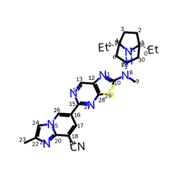 CC[C@]12CC[C@](CC)(C[C@@H](N(C)c3nc4cnc(-c5cc(C#N)c6nc(C)cn6c5)nc4s3)C1)N2